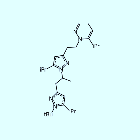 C=NN(CCc1cc(C(C)C)n(C(C)Cc2cc(C(C)C)n(C(C)(C)C)n2)n1)/C(=C\C)C(C)C